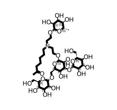 CC(=O)CCCCCN(CCO[C@@H]1O[C@@H](C)[C@@H](O)[C@@H](O)[C@@H]1O)CCO[C@H]1O[C@H](CO[C@H]2O[C@H](CO)[C@@H](O)[C@H](O)[C@@H]2O)[C@@H](O)[C@H](O[C@H]2O[C@H](CO)[C@@H](O)[C@H](O)[C@@H]2O)[C@@H]1O